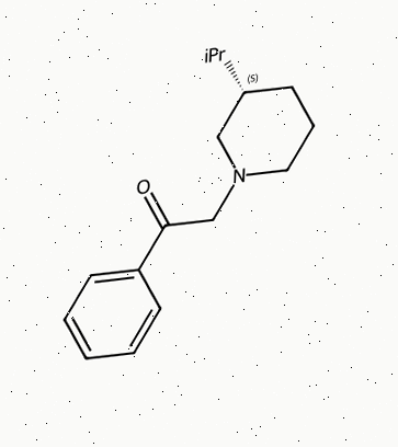 CC(C)[C@@H]1CCCN(CC(=O)c2ccccc2)C1